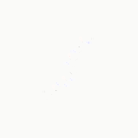 CNC(=O)c1c(C)[nH]c(C=C2C(=O)Nc3cc(NC(=O)Nc4cc(C(C)(C)C)on4)ccc32)c1C